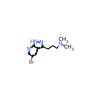 CN(C)CCCc1n[nH]c2ncc(Br)cc12